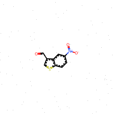 O=Cc1csc2ccc([N+](=O)[O-])cc12